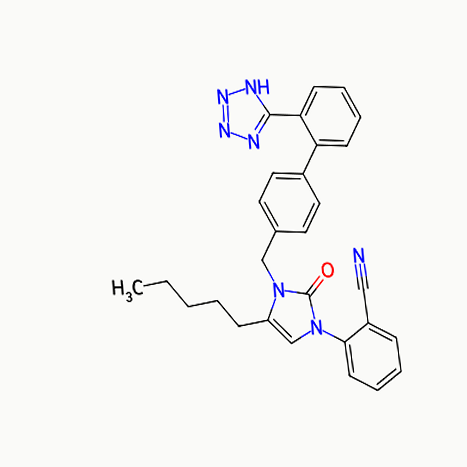 CCCCCc1cn(-c2ccccc2C#N)c(=O)n1Cc1ccc(-c2ccccc2-c2nnn[nH]2)cc1